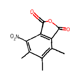 Cc1c(C)c2c(c([N+](=O)[O-])c1C)C(=O)OC2=O